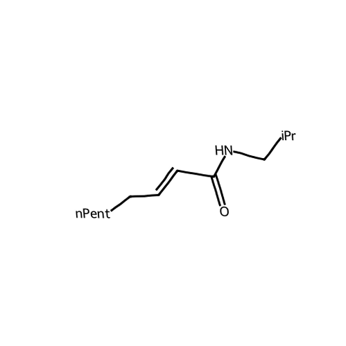 CCCCCCC=CC(=O)NCC(C)C